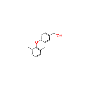 Cc1cccc(C)c1Oc1ccc(CO)cc1